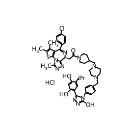 Cc1sc2c(c1C)C(c1ccc(Cl)cc1)=N[C@@H](CC(=O)N1CCC(CN3CCN(Cc4ccc(-n5c(O)nnc5-c5cc(C(C)C)c(O)cc5O)cc4)CC3)CC1)c1nnc(C)n1-2.Cl